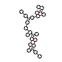 c1ccc(-c2ccc(N(c3ccc(-c4ccc(-c5ccccc5N(c5ccccc5)c5cccc6ccccc56)cc4)cc3)c3ccc(-c4cccc(-c5ccc(N(c6ccccc6)c6ccc(-c7ccc(-c8ccccc8N(c8ccc(-c9ccccc9)cc8)c8ccc(-c9ccccc9)cc8)cc7)cc6)c6ccccc56)c4)cc3)cc2)cc1